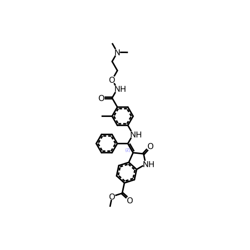 COC(=O)c1ccc2c(c1)NC(=O)/C2=C(\Nc1ccc(C(=O)NOCCN(C)C)c(C)c1)c1ccccc1